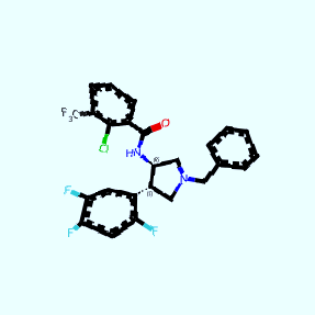 O=C(N[C@H]1CN(Cc2ccccc2)C[C@@H]1c1cc(F)c(F)cc1F)c1cccc(C(F)(F)F)c1Cl